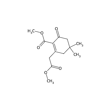 COC(=O)CC1=C(C(=O)OC)C(=O)CC(C)(C)C1